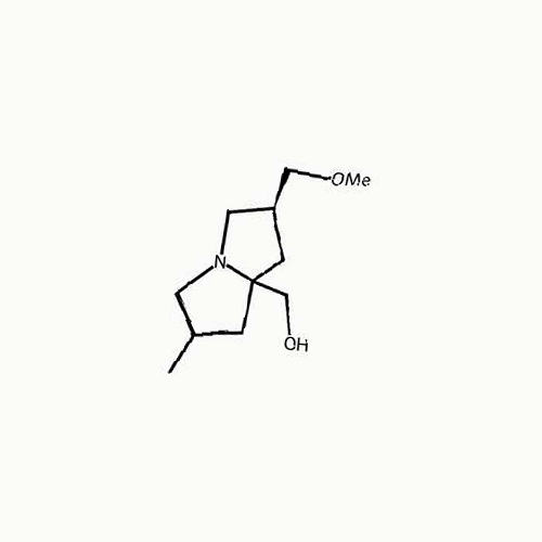 COC[C@@H]1CN2CC(C)CC2(CO)C1